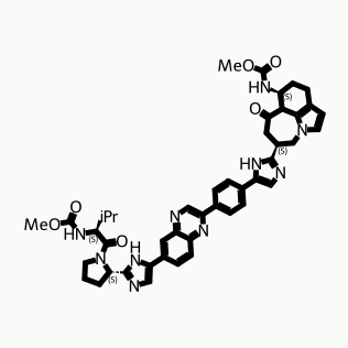 COC(=O)N[C@H]1CCc2ccn3c2C1C(=O)C[C@H](c1ncc(-c2ccc(-c4cnc5cc(-c6cnc([C@@H]7CCCN7C(=O)[C@@H](NC(=O)OC)C(C)C)[nH]6)ccc5n4)cc2)[nH]1)C3